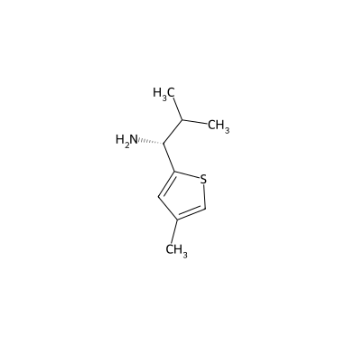 Cc1csc([C@H](N)C(C)C)c1